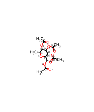 CC(=O)OCC1O[C@@H](C)[C@@H](OC(C)=O)C(OC(C)=O)[C@@H]1OC(C)=O